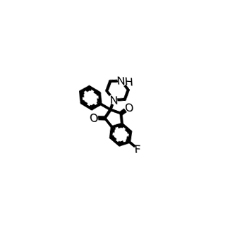 O=C1c2ccc(F)cc2C(=O)C1(c1ccccc1)N1CCNCC1